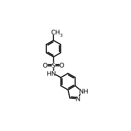 Cc1ccc(S(=O)(=O)Nc2ccc3[nH]ncc3c2)cc1